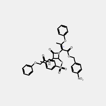 C/C(Oc1ccccc1)=C(/C(=O)OCc1ccc([N+](=O)[O-])cc1)N1C(=O)C(NC(=O)COc2ccccc2)C1SS(=O)(=O)c1ccc(C)cc1